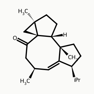 CC(C)[C@@H]1CC[C@]2(C)/C1=C\[C@@H](C)CC(=O)[C@]13C[C@@]1(C)CC[C@@H]32